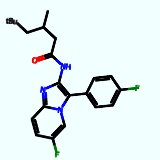 CC(CC(=O)Nc1nc2ccc(F)cn2c1-c1ccc(F)cc1)CC(C)(C)C